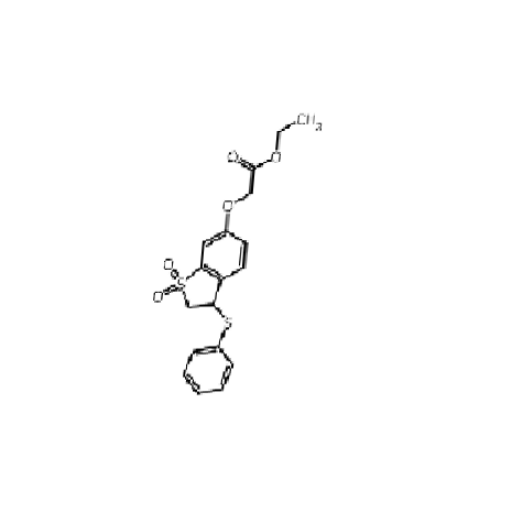 CCOC(=O)COc1ccc2c(c1)S(=O)(=O)CC2Sc1ccccc1